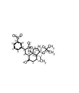 CC[C@]12CCC(=O)[C@@H](CC(c3cccc([N+](=O)[O-])c3)[N+](=O)[O-])[C@@H]1CC[C@@H]2OC(C)(C)C